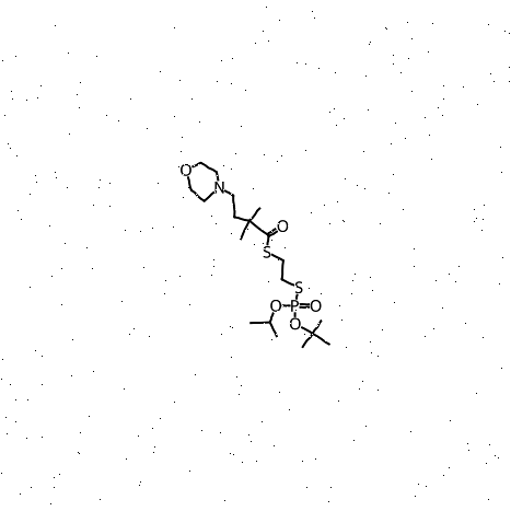 CC(C)OP(=O)(OC(C)(C)C)SCCSC(=O)C(C)(C)CCN1CCOCC1